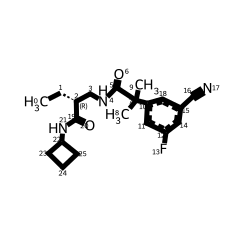 CC[C@H](CNC(=O)C(C)(C)c1cc(F)cc(C#N)c1)C(=O)NC1CCC1